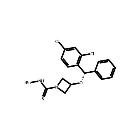 CC(C)(C)NC(=S)N1CC(O[C@@H](c2ccccc2)c2ccc(Cl)cc2Cl)C1